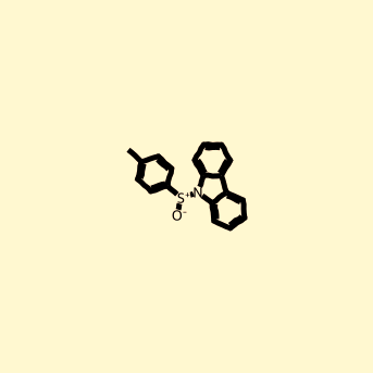 Cc1ccc([S+]([O-])n2c3ccccc3c3ccccc32)cc1